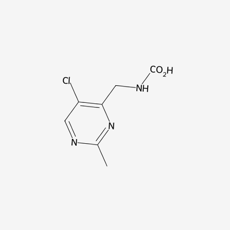 Cc1ncc(Cl)c(CNC(=O)O)n1